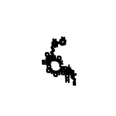 C#CCCN(C)[C@H]1C[C@@H](C)O[C@@H](O[C@@H]2[C@@H](C)C(=O)[C@@H](C)C(=O)O[C@H](CC)[C@@]3(C)OC(=O)N(CCCCn4cnc(-c5cccnc5)c4)[C@H]3[C@@H](C)C(=O)[C@H](C)C[C@@]2(C)OC)[C@@H]1O